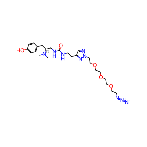 CN(C)[C@H](CNC(=O)NCCc1cnn(CCOCCOCCOCCN=[N+]=[N-])n1)Cc1ccc(O)cc1